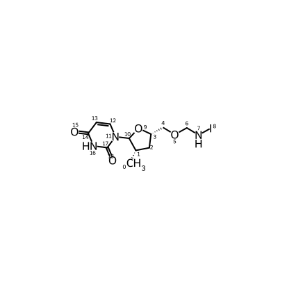 C[C@H]1C[C@@H](COCNI)OC1n1ccc(=O)[nH]c1=O